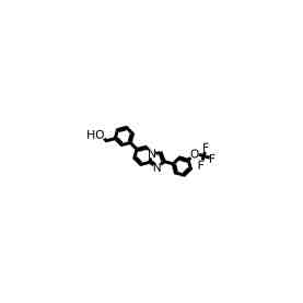 OCc1cccc(-c2ccc3nc(-c4cccc(OC(F)(F)F)c4)cn3c2)c1